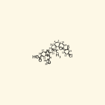 CC1c2c(ccc3c2O[C@@H](c2ccc(Cl)cc2F)C=C3)CCN1Cc1nc2ccc(C(=O)O)cc2n1C[C@@H]1CCO1